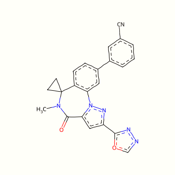 CN1C(=O)c2cc(-c3nnco3)nn2-c2cc(-c3cccc(C#N)c3)ccc2C12CC2